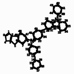 C1=CC2=C(C1)Cc1cc(N(c3ccc(-c4ccccc4)cc3)c3ccc(-c4ccc5c(c4)c4ccccc4n5-c4ccccc4)cc3)ccc12